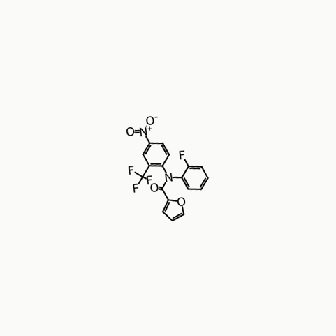 O=C(c1ccco1)N(c1ccccc1F)c1ccc([N+](=O)[O-])cc1C(F)(F)F